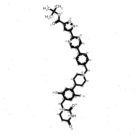 CC(C)(C)OC(=O)c1cc(-c2ncc(-c3ccc(CN4CCC(c5cc(F)c(CN6CCC(=O)NC6=O)cc5F)CC4)cc3)cn2)no1